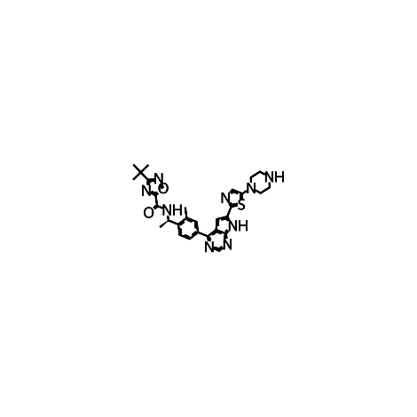 Cc1cc(-c2ncnc3[nH]c(-c4ncc(N5CCNCC5)s4)cc23)ccc1[C@@H](C)NC(=O)c1nc(C(C)(C)C)no1